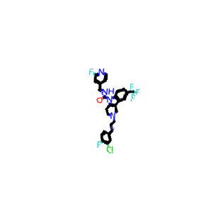 O=C(NCc1ccnc(F)c1)n1c2c(c3cc(C(F)(F)F)ccc31)CN(C/C=C/c1ccc(F)c(Cl)c1)CC2